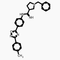 Cc1ccc(-c2noc(-c3ccc(NC(=N)C4CCN(Cc5ccccc5)C4)cc3)n2)cc1